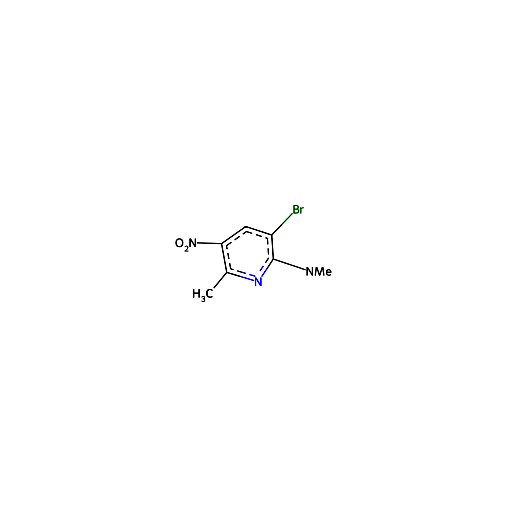 CNc1nc(C)c([N+](=O)[O-])cc1Br